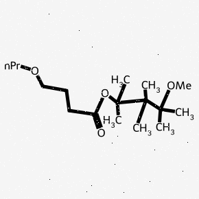 CCCOCCCC(=O)OC(C)(C)C(C)(C)C(C)(C)OC